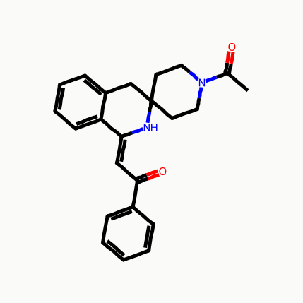 CC(=O)N1CCC2(CC1)Cc1ccccc1/C(=C/C(=O)c1ccccc1)N2